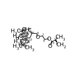 C=C(C)C(=O)OCCOCC(C)C[Si](C)(O[Si](C)(C)C)O[Si](C)(C)C